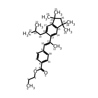 CCCOC(=O)c1ccc(C=C(C)c2cc3c(cc2CC(C)C)C(C)(C)CC3(C)C)cc1